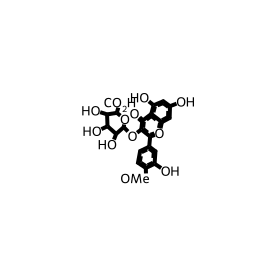 COc1ccc(-c2oc3cc(O)cc(O)c3c(=O)c2OC2OC(C(=O)O)C(O)C(O)C2O)cc1O